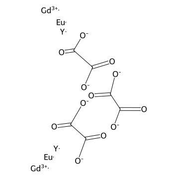 O=C([O-])C(=O)[O-].O=C([O-])C(=O)[O-].O=C([O-])C(=O)[O-].[Eu].[Eu].[Gd+3].[Gd+3].[Y].[Y]